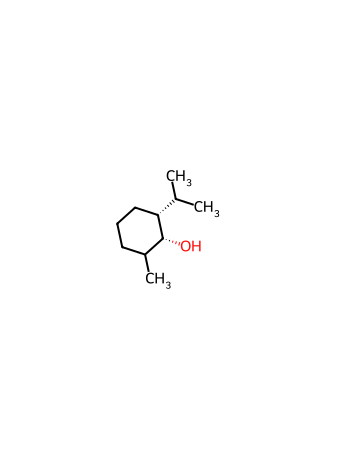 CC1CCC[C@H](C(C)C)[C@@H]1O